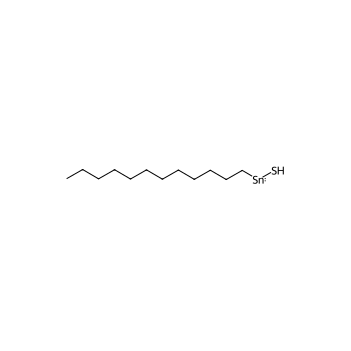 CCCCCCCCCCC[CH2][Sn][SH]